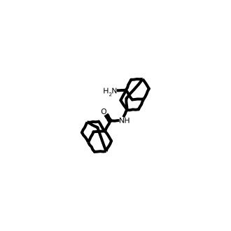 NC12CC3CC(C1)CC(NC(=O)C14CC5CC(CC(C5)C1)C4)(C3)C2